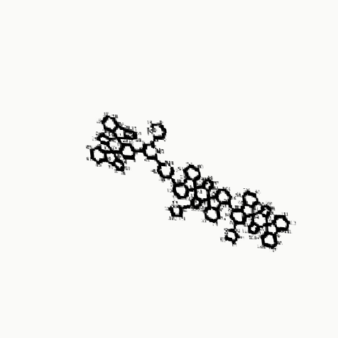 c1ccc(-c2cc(-c3ccc4c(c3)C3(c5ccccc5-c5ccccc53)c3ccccc3C43c4ccccc4-c4ccccc43)cc(-c3ccc(-c4cccc5c4-c4ccccc4C54c5ccccc5C5(c6ccccc6-c6c(-c7cc(-c8cccs8)cc8c7-c7ccccc7C87c8ccccc8C8(c9ccccc9-c9ccccc98)c8ccccc87)cccc65)c5ccc(-c6ccco6)cc54)cn3)n2)nc1